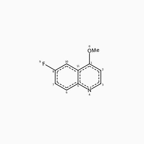 COc1ccnc2ccc(F)cc12